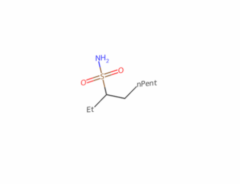 CCCCCCC(CC)S(N)(=O)=O